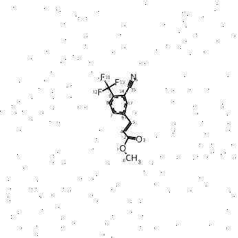 COC(=O)/C=C/c1ccc(C(F)(F)F)c(C#N)c1